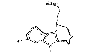 CCCCCCCCCCCCC1CCCc2[nH]c3cc(O)ccc3c21